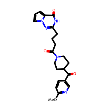 COc1ccc(C(=O)C2CCN(C(=O)CCCc3nn4cccc4c(=O)[nH]3)CC2)cn1